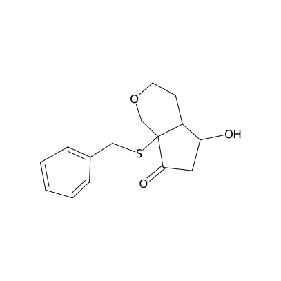 O=C1CC(O)C2CCOCC12SCc1ccccc1